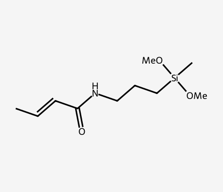 CC=CC(=O)NCCC[Si](C)(OC)OC